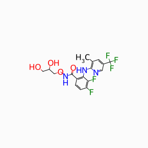 Cc1cc(C(F)(F)F)cnc1Nc1c(C(=O)NOCC(O)CO)ccc(F)c1F